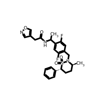 CC(NC(=O)Cc1cnoc1)c1cc(F)c(CN2[C@@H](C)CC[C@H](c3ccccc3)S2(=O)=O)cc1F